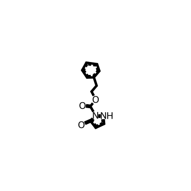 O=C(OCCc1ccccc1)n1[nH]ccc1=O